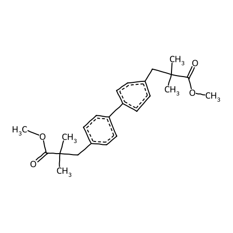 COC(=O)C(C)(C)Cc1ccc(-c2ccc(CC(C)(C)C(=O)OC)cc2)cc1